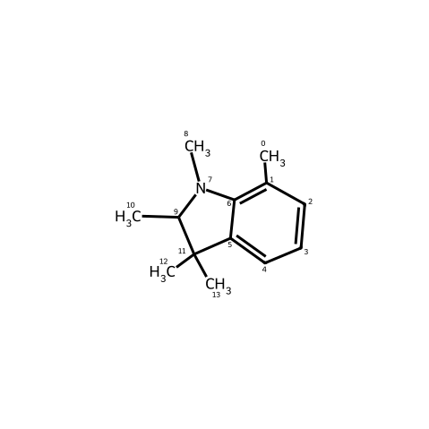 Cc1cccc2c1N(C)C(C)C2(C)C